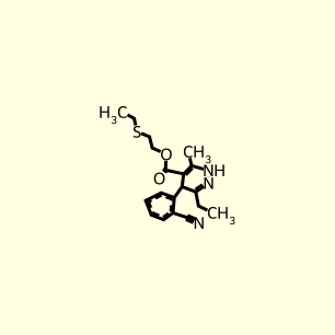 CCSCCOC(=O)C1=C(C)NN=C(CC)C1c1ccccc1C#N